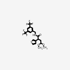 COC(CC(C(=O)NCc1cc(C(F)(F)F)cc(C(F)(F)F)c1)c1ccsc1)OC